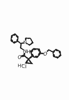 Cl.O=C(NCC(c1ccccc1)N1CCCC1)C1(c2cccc(OCc3ccccc3)c2)CC1